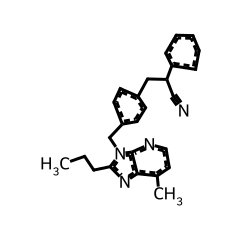 CCCc1nc2c(C)ccnc2n1Cc1ccc(CC(C#N)c2ccccc2)cc1